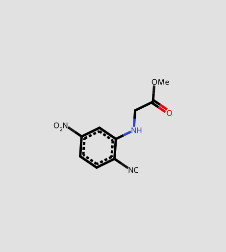 [C-]#[N+]c1ccc([N+](=O)[O-])cc1NCC(=O)OC